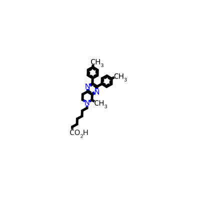 Cc1ccc(-c2nc3c(nc2-c2ccc(C)cc2)C(C)N(CCCCCCC(=O)O)CC3)cc1